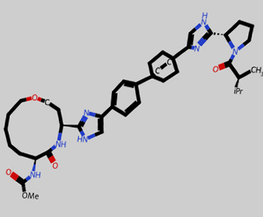 COC(=O)N[C@H]1CCCCCOCC[C@@H](c2nc(-c3ccc(C45CCC(c6c[nH]c([C@@H]7CCCN7C(=O)[C@@H](C)C(C)C)n6)(CC4)CC5)cc3)c[nH]2)NC1=O